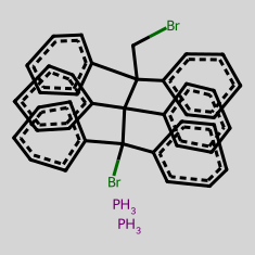 BrCC(c1ccccc1)(c1ccccc1)C(c1ccccc1)(c1ccccc1)C(Br)(c1ccccc1)c1ccccc1.P.P